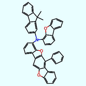 CC1(C)c2ccccc2-c2ccc(N(c3cccc4c3oc3ccccc34)c3cccc4c3oc3c(-c5ccccc5)c5c(cc34)oc3ccccc35)cc21